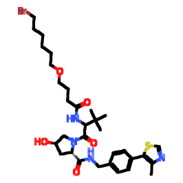 Cc1ncsc1-c1ccc(CNC(=O)[C@@H]2C[C@@H](O)CN2C(=O)C(NC(=O)CCCOCCCCCCBr)C(C)(C)C)cc1